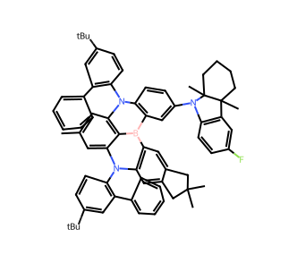 Cc1cc2c3c(c1)N(c1ccc(C(C)(C)C)cc1-c1ccccc1)c1cc4c(cc1B3c1cc(N3c5ccc(F)cc5C5(C)CCCCC35C)ccc1N2c1ccc(C(C)(C)C)cc1-c1ccccc1)CC(C)(C)C4